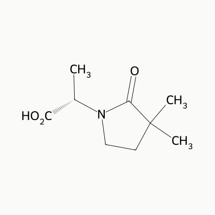 C[C@@H](C(=O)O)N1CCC(C)(C)C1=O